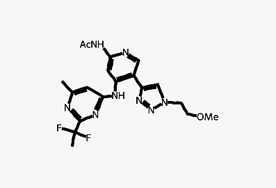 COCCn1cc(-c2cnc(NC(C)=O)cc2Nc2cc(C)nc(C(C)(F)F)n2)nn1